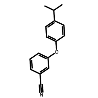 CC(C)c1ccc(Oc2cccc(C#N)c2)cc1